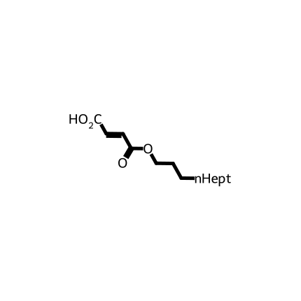 CCCCCCCCCCOC(=O)C=CC(=O)O